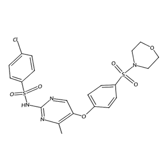 Cc1nc(NS(=O)(=O)c2ccc(Cl)cc2)ncc1Oc1ccc(S(=O)(=O)N2CCOCC2)cc1